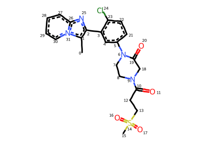 Cc1c(-c2cc(N3CCN(C(=O)CCS(C)(=O)=O)CC3=O)ccc2Cl)nc2ccccn12